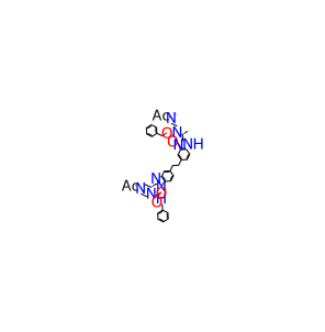 CC(=O)N(C)CCN(C(=O)OCc1ccccc1)[C@@H](C)c1nc2cc(CCc3ccc4[nH]c([C@@H]5CN(C(C)=O)CCN5C(=O)OCc5ccccc5)nc4c3)ccc2[nH]1